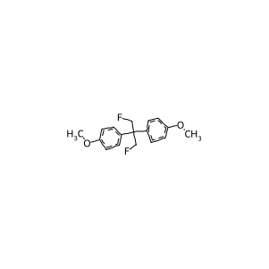 COc1ccc(C(CF)(CF)c2ccc(OC)cc2)cc1